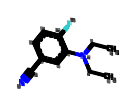 CCN(CC)c1cc(C#N)ccc1F